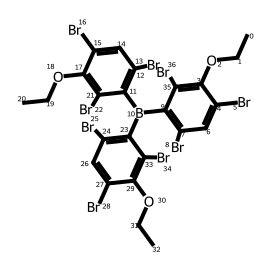 CCOc1c(Br)cc(Br)c(B(c2c(Br)cc(Br)c(OCC)c2Br)c2c(Br)cc(Br)c(OCC)c2Br)c1Br